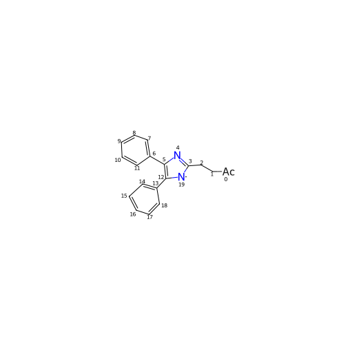 CC(=O)CCC1=NC(c2ccccc2)=C(c2ccccc2)[N]1